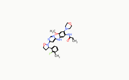 C=CC(=O)Nc1cc(Nc2cc(N3OCC[C@@H]3c3cccc(C)c3F)ncn2)c(OC)cc1N1CCOCC1